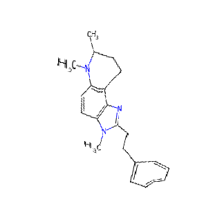 CC1CCc2c(ccc3c2nc(CCc2ccccc2)n3C)N1C